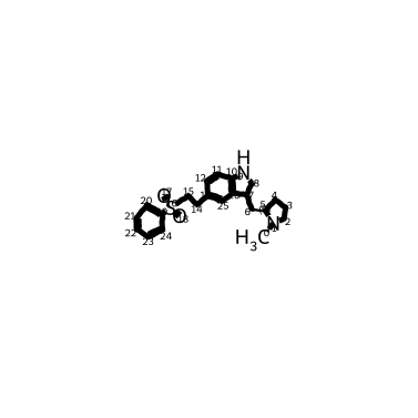 CN1CCC[C@@H]1CC1CNc2ccc(CCS(=O)(=O)c3ccccc3)cc21